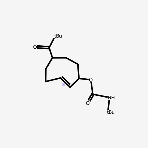 CC(C)(C)NC(=O)OC1/C=C/CCC(C(=O)C(C)(C)C)CC1